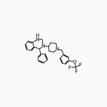 FC(F)(F)Oc1cccc(CN2CCC(N3CNc4ccccc4C3c3ccccc3)CC2)c1